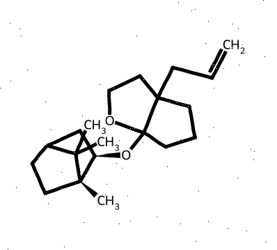 C=CCC12CCCC1(O[C@@H]1CC3CC[C@]1(C)C3(C)C)OCC2